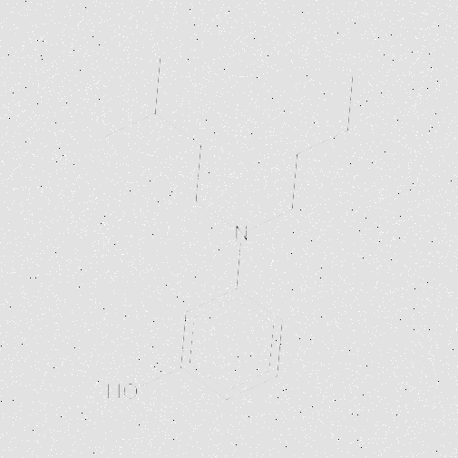 CCCCN(CCC(C)C)c1cccc(O)c1